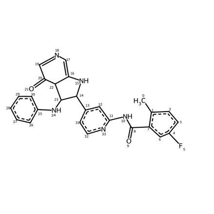 Cc1ccc(F)cc1C(=O)Nc1cc(C2NC3=CN=CC(=O)C3C2Nc2ccccc2)ccn1